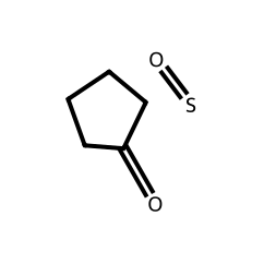 O=C1CCCC1.O=S